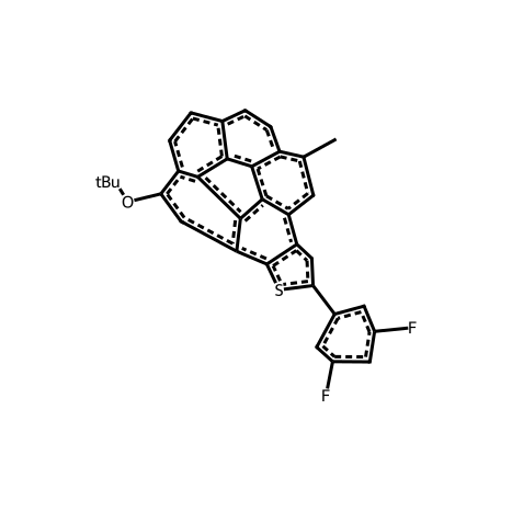 Cc1cc2c3cc(-c4cc(F)cc(F)c4)sc3c3cc(OC(C)(C)C)c4ccc5ccc1c1c5c4c3c21